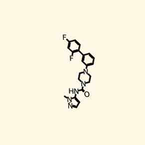 Cn1nccc1NC(=O)N1CCN(c2cccc(-c3ccc(F)cc3F)c2)CC1